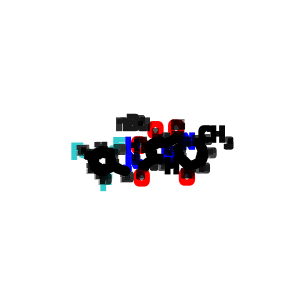 CCCCOc1c2n(cc(C(=O)NCc3c(F)cc(F)cc3F)c1=O)[C@@H]1CN(C2=O)[C@@H](C)C=CC1=O